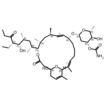 CCC(=O)[C@@H](CC)[C@@H](O)[C@H](C)C[C@@H](C)[C@H]1OC(=O)C[C@@]2(O)CC=C(C)[C@H](O2)/C(C)=C/CCC[C@@H](O[C@H]2C[C@@H](OC(N)=O)[C@H](O)[C@@H](C)O2)/C=C/[C@H](C)C[C@H]1C